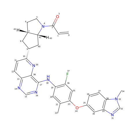 C=CC(=O)N1CC[C@H]2C[C@@H](c3ccc4ncnc(Nc5cc(C)c(Oc6ccc7c(c6)ncn7C)cc5F)c4n3)C[C@H]21